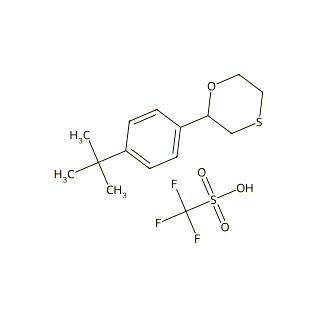 CC(C)(C)c1ccc(C2CSCCO2)cc1.O=S(=O)(O)C(F)(F)F